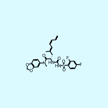 C=C/C=C\C=C(/C)C[C@H](NC(=O)NS(=O)(=O)c1ccc(F)cc1F)C(=O)N(C)c1ccc2c(c1)OCO2